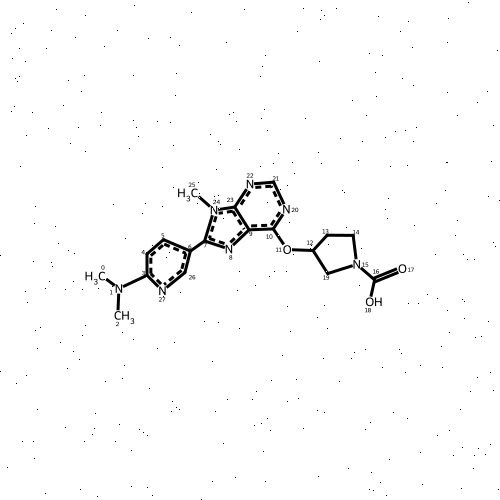 CN(C)c1ccc(-c2nc3c(OC4CCN(C(=O)O)C4)ncnc3n2C)cn1